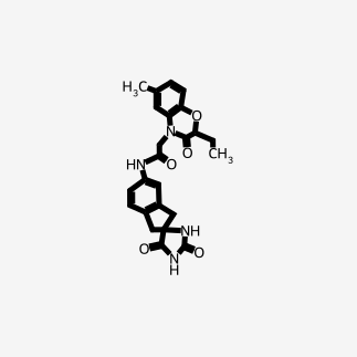 CCC1Oc2ccc(C)cc2N(CC(=O)Nc2ccc3c(c2)CC2(C3)NC(=O)NC2=O)C1=O